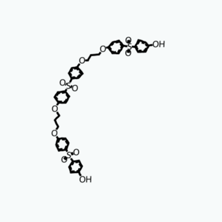 O=S(=O)(c1ccc(O)cc1)c1ccc(OCCCOc2ccc(S(=O)(=O)c3ccc(OCCCOc4ccc(S(=O)(=O)c5ccc(O)cc5)cc4)cc3)cc2)cc1